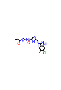 C=CC(=O)N1CC(NC(=O)c2cnc(CNc3n[nH]c4cc(Cl)c(C)cc34)n2C)C1